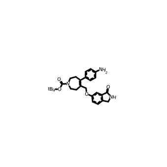 CC(C)(C)OC(=O)N1CCC(COc2ccc3c(c2)C(=O)NC3)=C(c2ccc(N)cc2)CC1